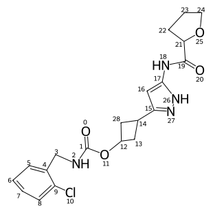 O=C(NCc1ccccc1Cl)OC1CC(c2cc(NC(=O)C3CCCO3)[nH]n2)C1